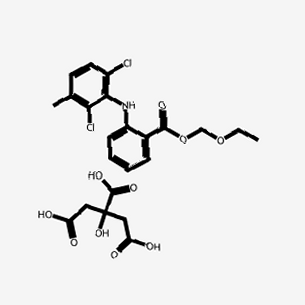 CCOCOC(=O)c1ccccc1Nc1c(Cl)ccc(C)c1Cl.O=C(O)CC(O)(CC(=O)O)C(=O)O